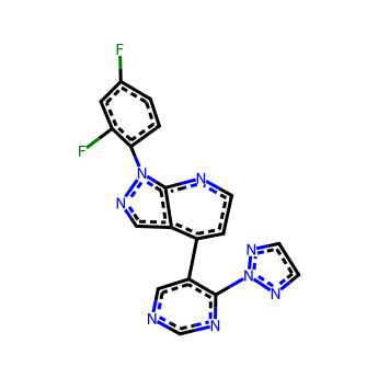 Fc1ccc(-n2ncc3c(-c4cncnc4-n4nccn4)ccnc32)c(F)c1